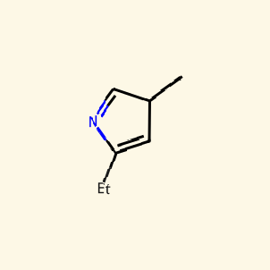 CCC1=CC(C)C=N1